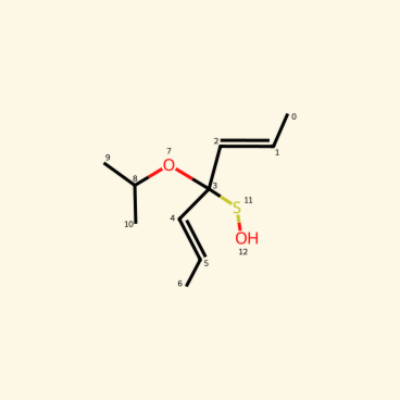 CC=CC(C=CC)(OC(C)C)SO